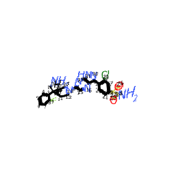 NC[C@]1(c2ccccc2F)[C@@H]2CCN(c3cnc4c(-c5ccc(S(N)(=O)=O)cc5Cl)n[nH]c4n3)C[C@@H]21